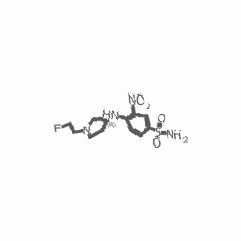 NS(=O)(=O)c1ccc(N[C@@H]2CCN(CCF)C2)c([N+](=O)[O-])c1